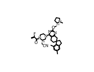 C=C(F)C(=O)N1CCN(c2nc(OC[C@@H]3CCCN3C)nc3c2CCC2(CCc4cc(C)cc(C)c42)C3)C[C@@H]1CC#N